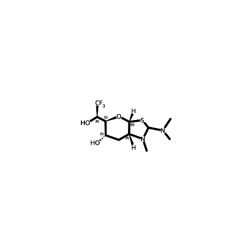 CN(C)C1S[C@H]2O[C@H]([C@@H](O)C(F)(F)F)[C@@H](O)C[C@H]2N1C